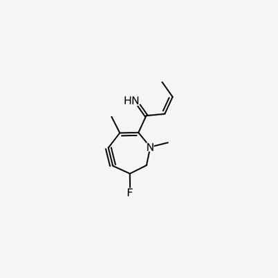 C/C=C\C(=N)C1=C(C)C#CC(F)CN1C